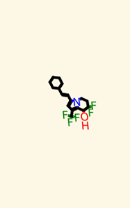 OC1c2c(C(F)(F)F)cc(/C=C/C3CCCCC3)n2CCC1(F)F